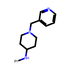 CC(C)NC1CCN(Cc2cccnc2)CC1